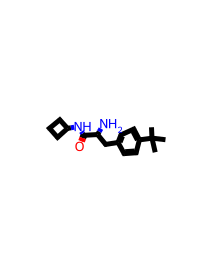 CC(C)(C)c1ccc(CC(N)C(=O)NC2CCC2)cc1